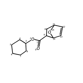 O=C(OC1CCCCC1)C1CC2C=CC1O2